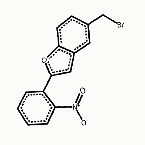 O=[N+]([O-])c1ccccc1-c1cc2cc(CBr)ccc2o1